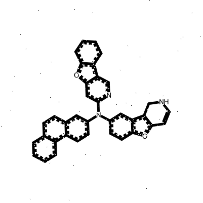 C1=Cc2oc3ccc(N(c4ccc5c(ccc6ccccc65)c4)c4cc5oc6ccccc6c5cn4)cc3c2CN1